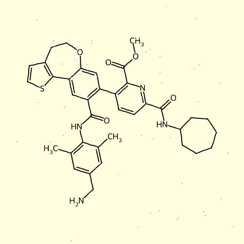 COC(=O)c1nc(C(=O)NC2CCCCCC2)ccc1-c1cc2c(cc1C(=O)Nc1c(C)cc(CN)cc1C)-c1sccc1CCO2